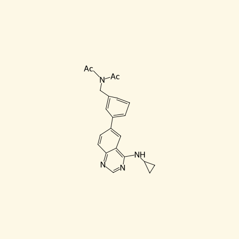 CC(=O)N(Cc1cccc(-c2ccc3ncnc(NC4CC4)c3c2)c1)C(C)=O